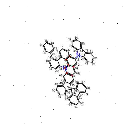 c1ccc(-c2ccccc2-c2c(-c3ccccc3)cccc2N(c2ccc(-n3c4ccccc4c4ccccc43)cc2)c2ccc3c(c2)-c2ccccc2C32c3ccccc3-c3ccccc32)cc1